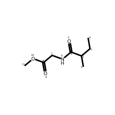 CCC(C)C(=O)NCC(=O)OC